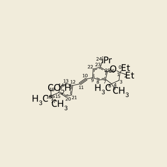 CCC1(CC)CC(C)(C)c2cc(C#Cc3ccc(C(C)(C)C(=O)O)cc3)cc(C(C)C)c2O1